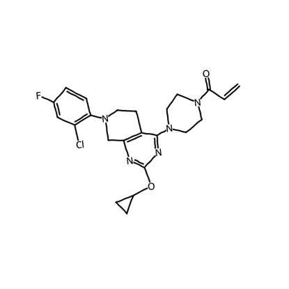 C=CC(=O)N1CCN(c2nc(OC3CC3)nc3c2CCN(c2ccc(F)cc2Cl)C3)CC1